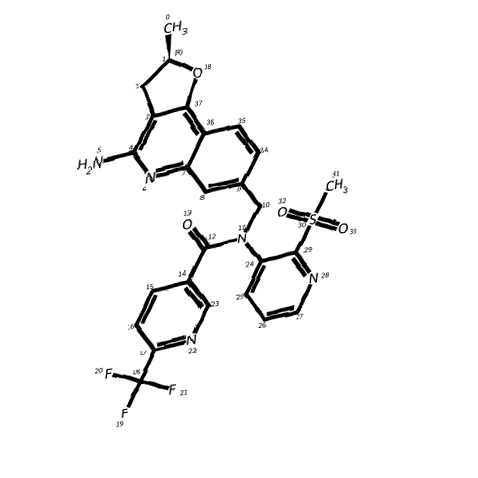 C[C@@H]1Cc2c(N)nc3cc(CN(C(=O)c4ccc(C(F)(F)F)nc4)c4cccnc4S(C)(=O)=O)ccc3c2O1